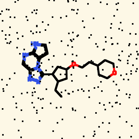 CCC1CC(OCCC2CCOCC2)CC1c1nnc2cnc3[nH]ccc3n12